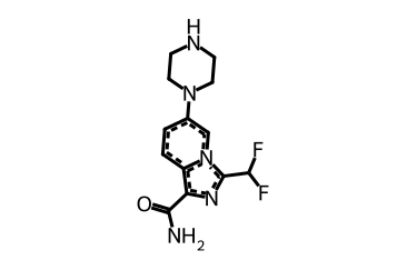 NC(=O)c1nc(C(F)F)n2cc(N3CCNCC3)ccc12